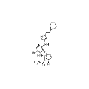 NC(=O)[C@H]1[C@@H](Nc2nc(Nc3cnn(CCN4CCCCC4)c3)ncc2Br)[C@@H]2C=C[C@H]1C2